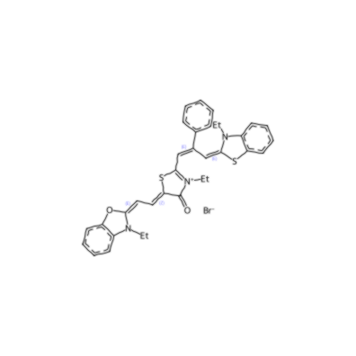 CCN1/C(=C\C=C2/SC(/C=C(\C=C3\Sc4ccccc4N3CC)c3ccccc3)=[N+](CC)C2=O)Oc2ccccc21.[Br-]